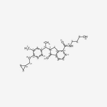 Cc1cc(C(C)N2Cc3c(ccnc3C(=O)NCCCO)C2=O)ncc1OCC1CC1